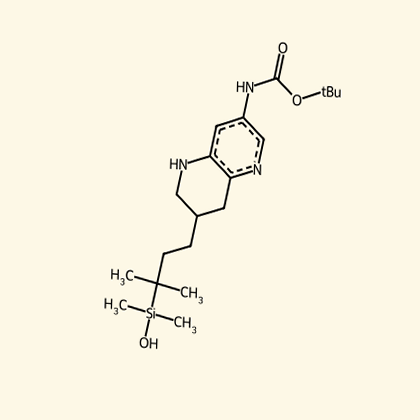 CC(C)(C)OC(=O)Nc1cnc2c(c1)NCC(CCC(C)(C)[Si](C)(C)O)C2